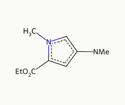 CCOC(=O)c1cc(NC)cn1C